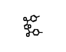 Cc1ccc(C(=O)c2ccc(C(=O)c3ccc(C)cc3)o2)cc1